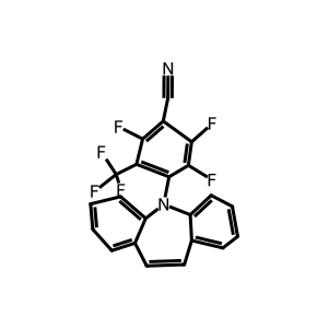 N#Cc1c(F)c(F)c(N2c3ccccc3C=Cc3ccccc32)c(C(F)(F)F)c1F